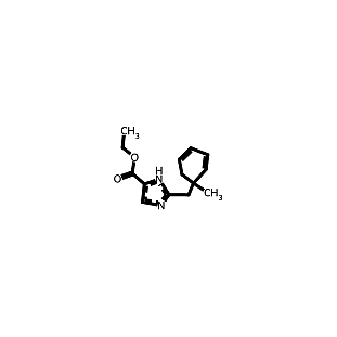 CCOC(=O)c1cnc(CC2(C)C=CC=CC2)[nH]1